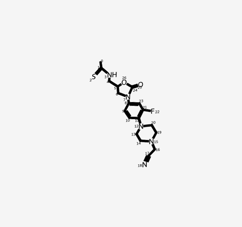 CC(=S)NCC1CN(c2ccc(N3CCN(CC#N)CC3)c(F)c2)C(=O)O1